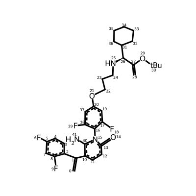 C=C(c1ccc(F)cc1F)c1ccc(=O)n(-c2c(F)cc(OCCCN[C@H](C(=C)OC(C)(C)C)C3CCCCC3)cc2F)c1N